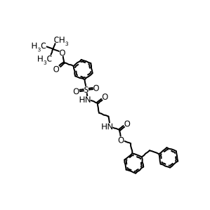 CC(C)(C)OC(=O)c1cccc(S(=O)(=O)NC(=O)CCNC(=O)OCc2ccccc2Cc2ccccc2)c1